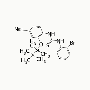 CC(C)(C)[Si](C)(C)Oc1cc(C#N)ccc1NC(=S)Nc1ccccc1Br